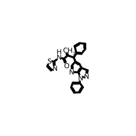 C=C(C(=O)Nc1nccs1)C(c1ccccc1)c1cnc2c(cnn2-c2ccccc2)c1